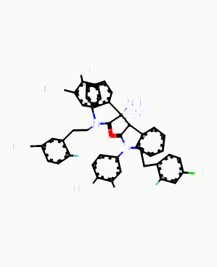 Cc1ccc(N(CCc2ccc(Cl)cc2F)C(=O)[C@](N)(c2ccccc2)[C@](N)(C(=O)N(CCc2cc(C(F)(F)F)ccc2F)c2ccc(C)c(C)c2)c2ccccc2)cc1C